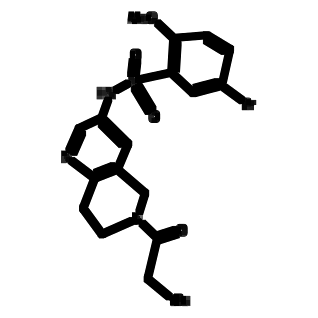 COc1ccc(Br)cc1S(=O)(=O)Nc1cnc2c(c1)CN(C(=O)CC(C)(C)C)CC2